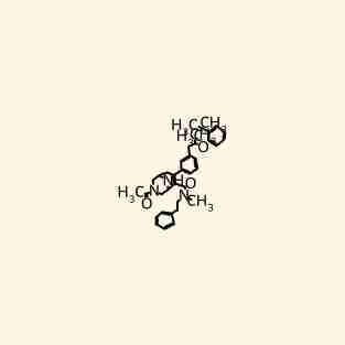 CC(=O)N1CC2CC(c3cccc(CC(C)Oc4ccccc4C(C)(C)C)c3)=C(C(=O)N(C)CCc3ccccc3)C(C1)N2